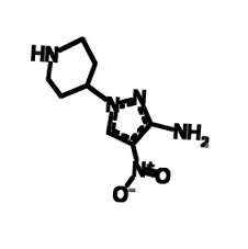 Nc1nn(C2CCNCC2)cc1[N+](=O)[O-]